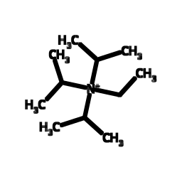 CC[N+](C(C)C)(C(C)C)C(C)C